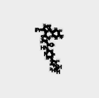 [2H]C([2H])([2H])N1CC(c2ccc(NC(=O)c3csc(-c4c(C(C)C)cnn4-c4ccc(F)cc4)n3)nc2)C1